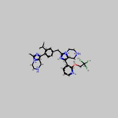 Cc1nc(-c2ccc(Cc3nc(-c4cccnc4OCC(F)(F)F)c4n3CCNC4)cc2C(C)C)c2n1CCNC2